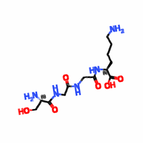 NCCCC[C@H](NC(=O)CNC(=O)CNC(=O)[C@@H](N)CO)C(=O)O